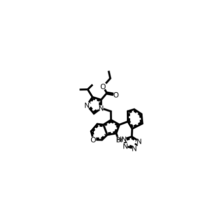 CCOC(=O)c1c(C(C)C)ncn1Cc1c2ccocc-2c(Br)c1-c1ccccc1-c1nnn[nH]1